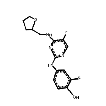 Oc1ccc(Nc2ncc(F)c(NCC3CCCO3)n2)cc1F